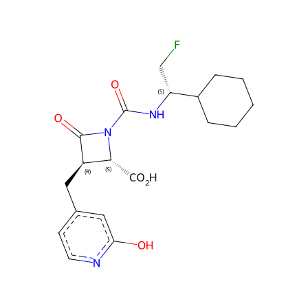 O=C(O)[C@@H]1[C@@H](Cc2ccnc(O)c2)C(=O)N1C(=O)N[C@H](CF)C1CCCCC1